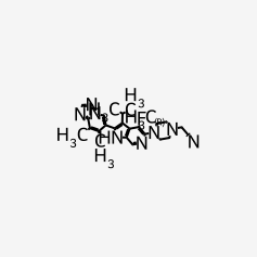 Cc1c(-c2[nH]c3cnc(N4CCN(CC#N)C[C@H]4C)c(F)c3c2C(C)C)cn2ncnc2c1C